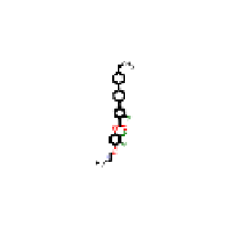 C=CC1CCC(C2CCC(c3ccc(C(=O)Oc4ccc(O/C=C/C)c(F)c4F)c(F)c3)CC2)CC1